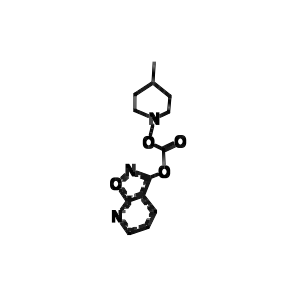 CC1CCN(OC(=O)Oc2noc3ncccc23)CC1